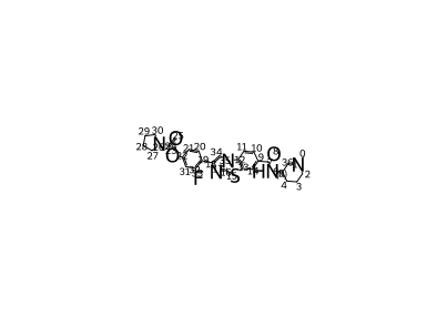 CN1CCC[C@@H](NC(=O)c2ccc3c(c2)sc2nc(-c4ccc(OC(=O)N5CCCC5)cc4F)cn23)C1